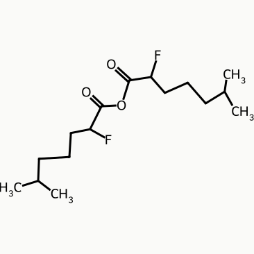 CC(C)CCCC(F)C(=O)OC(=O)C(F)CCCC(C)C